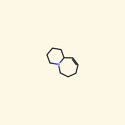 C1=CC2CCCCN2CCC1